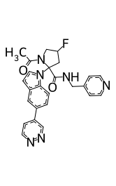 CC(=O)N1CC(F)CC1(C(=O)NCc1ccncc1)n1ccc2cc(-c3ccnnc3)ccc21